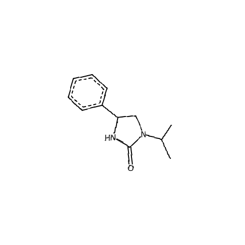 CC(C)N1CC(c2ccccc2)NC1=O